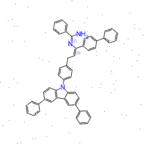 N/C(=N\C(=C/Cc1ccc(-n2c3ccc(-c4ccccc4)cc3c3cc(-c4ccccc4)ccc32)cc1)c1ccc(-c2ccccc2)cc1)c1ccccc1